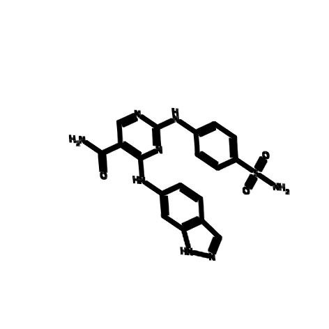 NC(=O)c1cnc(Nc2ccc(S(N)(=O)=O)cc2)nc1Nc1ccc2cn[nH]c2c1